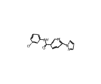 O=C(Nc1cccc(Cl)c1)c1ccc(-n2cccn2)nc1